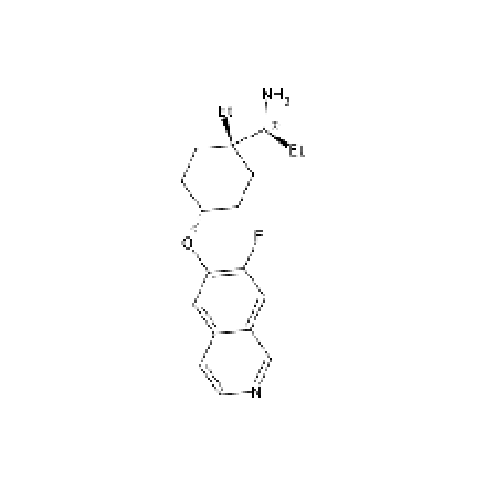 CC[C@H](N)[C@]1(CC)CC[C@H](Oc2cc3ccncc3cc2F)CC1